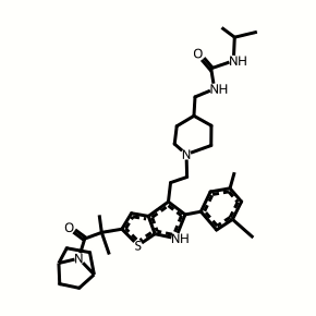 Cc1cc(C)cc(-c2[nH]c3sc(C(C)(C)C(=O)N4C5CCC4CC5)cc3c2CCN2CCC(CNC(=O)NC(C)C)CC2)c1